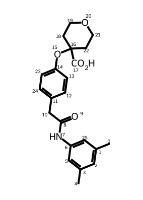 Cc1cc(C)cc(NC(=O)Cc2ccc(OC3(C(=O)O)CCOCC3)cc2)c1